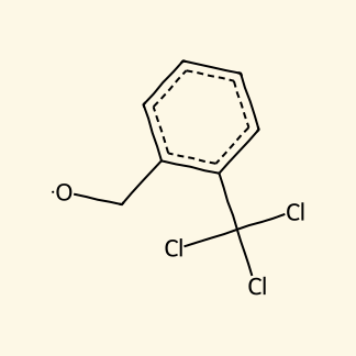 [O]Cc1ccccc1C(Cl)(Cl)Cl